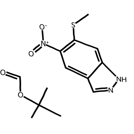 CC(C)(C)OC=O.CSc1cc2[nH]ncc2cc1[N+](=O)[O-]